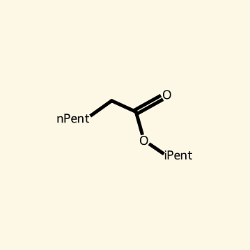 CCCCCCC(=O)OC(C)CCC